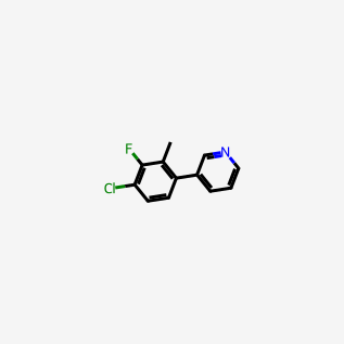 Cc1c(-c2cccnc2)ccc(Cl)c1F